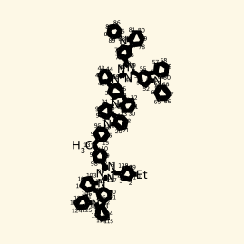 CCc1ccc(-c2nc(-c3ccc(C(C)c4ccc(-n5c6ccccc6c6c(-n7c8ccccc8c8cc9c(cc87)c7ccccc7n9-c7nc(-c8ccc9c(c8)c8ccccc8n9-c8ccccc8)nc(-c8ccc9c(c8)c8ccccc8n9-c8ccccc8)n7)cccc65)cc4)cc3)nc(-n3c4ccccc4c4c3ccc3c5ccccc5n(-c5ccccc5)c34)n2)cc1